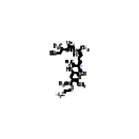 C#C/C(=C/C/C=C(/C)NC[C@H](C)NC(=C)CC(C)(C)C)C(=C)Nc1cnc(C)c(N(C)/N=C\C=C)c1